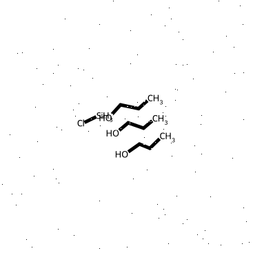 CCCO.CCCO.CCCO.[SiH3]Cl